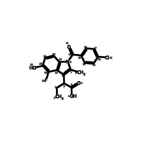 CCC(C(=O)O)c1c(C)n(C(=O)c2ccc(Cl)cc2)c2ccc(O)c(F)c12